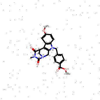 CCCOc1ccc2c(c1)c1c(n2Cc2ccc(C(=O)OC(C)(C)C)cc2)CN2CC1C(=O)N(C)C2=O